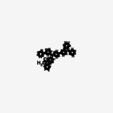 CC1(C)c2ccccc2-c2ccc(N(c3ccc(-c4ccc5c(c4)c4ccccc4n5-c4ccccc4)cc3)c3cccc(-c4cccnc4)c3)cc21